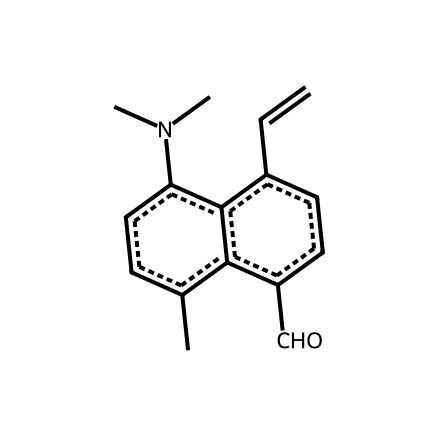 C=Cc1ccc(C=O)c2c(C)ccc(N(C)C)c12